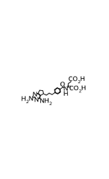 Nc1nc(N)c2c(n1)CCC2CCCc1ccc(C(=O)N[C@@H](CCC(=O)O)C(=O)O)cc1